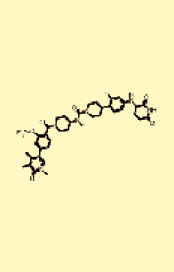 Cc1c(-c2ccc(C(=O)N3CCC(N(C)C(=O)N4CCC(c5ccc(NC6CCC(=O)NC6=O)cc5F)CC4)CC3)c(OC(F)(F)F)c2)cn(C)c(=O)c1C